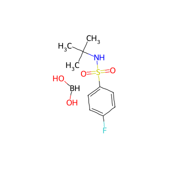 CC(C)(C)NS(=O)(=O)c1ccc(F)cc1.OBO